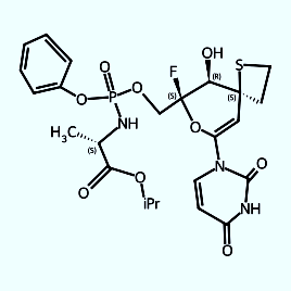 CC(C)OC(=O)[C@H](C)NP(=O)(OC[C@@]1(F)OC(n2ccc(=O)[nH]c2=O)=C[C@@]2(CCS2)[C@@H]1O)Oc1ccccc1